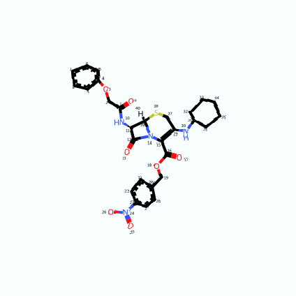 O=C(COc1ccccc1)N[C@@H]1C(=O)N2C(C(=O)OCc3ccc([N+](=O)[O-])cc3)=C(NC3CCCCC3)CS[C@@H]12